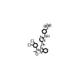 CC(=O)N(c1ccc(Cl)c(Cl)c1)c1nc2ccccc2n1CN(C)c1ccnc(Nc2cccc(CS(C)(=O)=O)c2)n1